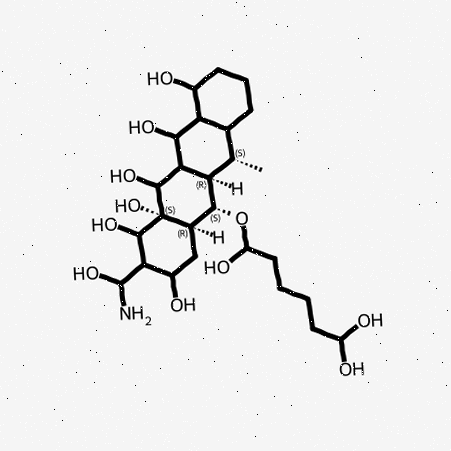 C[C@H]1C2CCCC(O)C2C(O)C2C(O)[C@]3(O)C(O)C(C(N)O)C(O)C[C@@H]3[C@@H](OC(O)CCCCC(O)O)[C@@H]21